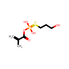 C=C(C)C(=O)OP(O)(O)=[SH]CCCO